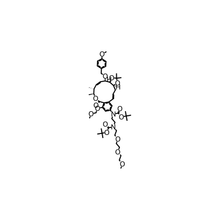 COCCOCCOCCN(CCN(C(=O)OC(C)(C)C)c1cc2c(c(OCOC)c1)C(=O)O[C@@H](C)[C@H](C)/C=C\[C@@H](OCc1ccc(OC)cc1)[C@H]1OC(C)(C)O[C@H]1C/C=C/2)C(=O)OC(C)(C)C